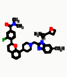 CN(C)C(=O)c1ccc(C2C=Cc3cccc(C4CCN(Cc5nc6ccc(C(=O)O)cc6n5[C@@H]5[SiH2]C5C5CCO5)CC4)c3O2)c(F)c1